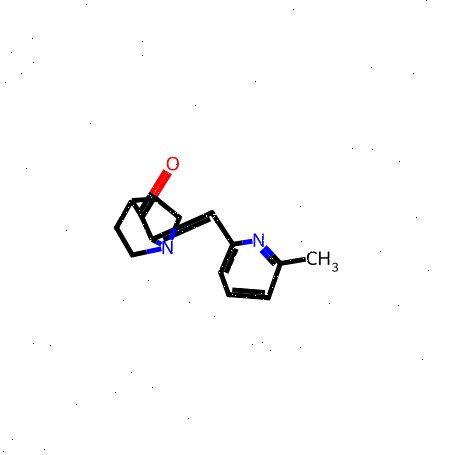 Cc1cccc(C=C2C(=O)C3CCN2CC3)n1